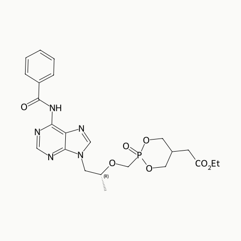 CCOC(=O)CC1COP(=O)(CO[C@H](C)Cn2cnc3c(NC(=O)c4ccccc4)ncnc32)OC1